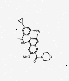 COc1cc2c(N[C@H](C)c3cc(N)cc(C4CC4)c3)nc(C)nc2cc1C(=O)N1CCOCC1